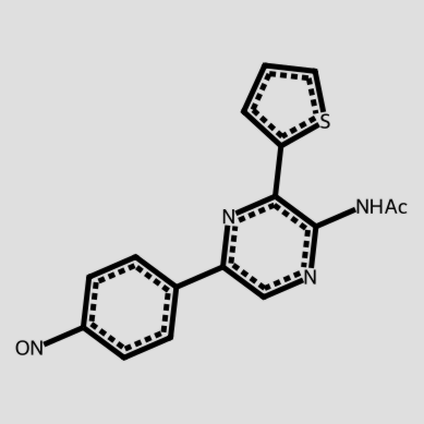 CC(=O)Nc1ncc(-c2ccc(N=O)cc2)nc1-c1cccs1